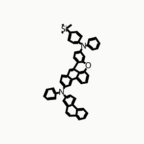 C[Si](C)(C)c1ccc(N(c2ccccc2)c2ccc3c(c2)Oc2cccc4c2c-3cc2ccc(N(c3ccccc3)c3ccc5c(ccc6ccccc65)c3)cc24)cc1